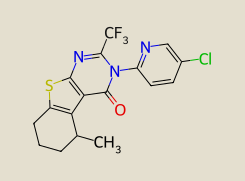 CC1CCCc2sc3nc(C(F)(F)F)n(-c4ccc(Cl)cn4)c(=O)c3c21